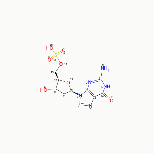 Nc1nc2c(ncn2[C@H]2C[C@H](O)[C@@H](COS(=O)(=O)O)O2)c(=O)[nH]1